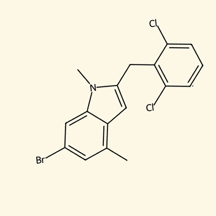 Cc1cc(Br)cc2c1cc(Cc1c(Cl)[c]ccc1Cl)n2C